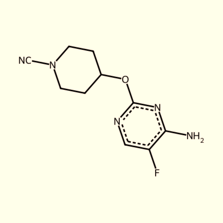 N#CN1CCC(Oc2ncc(F)c(N)n2)CC1